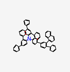 c1ccc(-c2ccc(N(c3ccc(-c4ccc(-c5ccccc5)c(-c5cccc6ccccc56)c4)cc3)c3ccc(-c4ccccc4)cc3-c3ccccc3)c(-c3ccccc3)c2)cc1